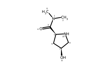 CN(C)C(=O)[C@@H]1C[C@H](O)CN1